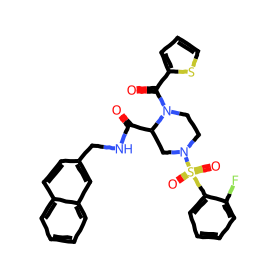 O=C(NCc1ccc2ccccc2c1)C1CN(S(=O)(=O)c2ccccc2F)CCN1C(=O)c1cccs1